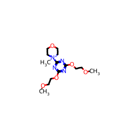 COCCOc1nc(OCCOC)nc([N+]2(C)CCOCC2)n1